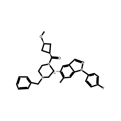 CO[C@H]1C[C@@H](C(=O)N2CCN(Cc3ccccc3)C[C@H]2c2cc3cnn(-c4ccc(F)cc4)c3cc2C)C1